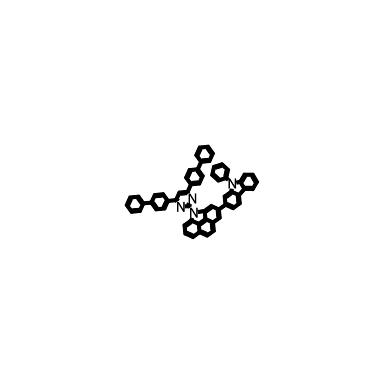 c1ccc(-c2ccc(-c3cc(-c4ccc(-c5ccccc5)cc4)nc(-n4c5cccc6ccc7cc(-c8ccc9c%10ccccc%10n(-c%10ccccc%10)c9c8)cc4c7c65)n3)cc2)cc1